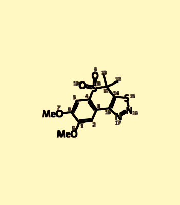 COc1cc2c(cc1OC)S(=O)(=O)C(C)(C)c1snnc1-2